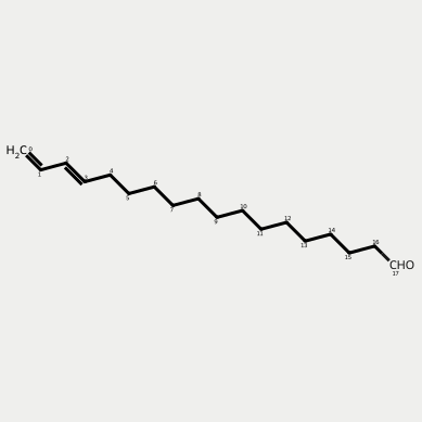 C=C/C=C/CCCCCCCCCCCCCC=O